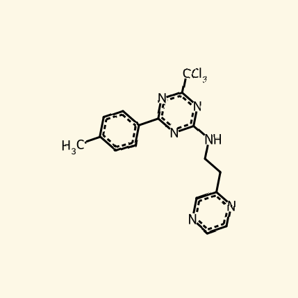 Cc1ccc(-c2nc(NCCc3cnccn3)nc(C(Cl)(Cl)Cl)n2)cc1